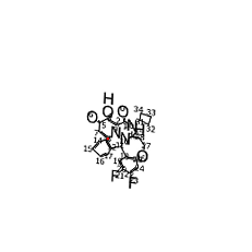 O=C1c2c(O)c(=O)ccn2N2[C@H](c3ccccc3)c3cc(F)c(F)cc3OCC[C@H]2N1C1CCC1